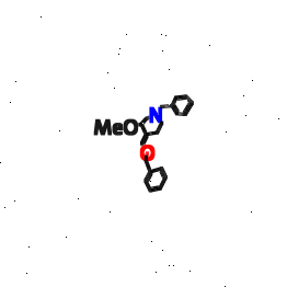 COC1CN(Cc2ccccc2)CCC1=COCc1ccccc1